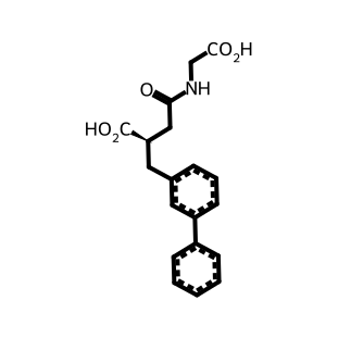 O=C(O)CNC(=O)C[C@@H](Cc1cccc(-c2ccccc2)c1)C(=O)O